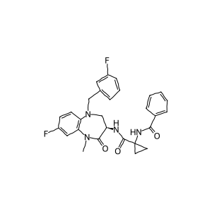 CN1C(=O)[C@H](NC(=O)C2(NC(=O)c3ccccc3)CC2)CN(Cc2cccc(F)c2)c2ccc(F)cc21